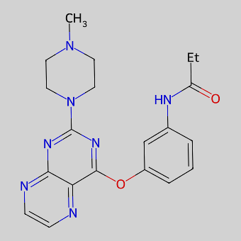 CCC(=O)Nc1cccc(Oc2nc(N3CCN(C)CC3)nc3nccnc23)c1